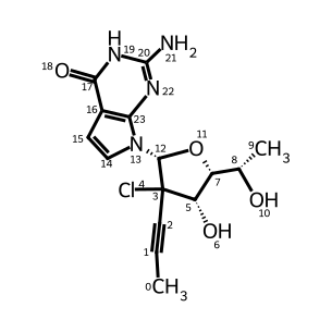 CC#CC1(Cl)[C@@H](O)[C@@H]([C@H](C)O)O[C@H]1n1ccc2c(=O)[nH]c(N)nc21